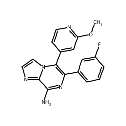 COc1cc(-c2c(-c3cccc(F)c3)nc(N)c3nccn23)ccn1